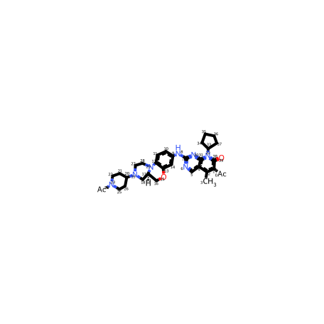 CC(=O)c1c(C)c2cnc(Nc3ccc4c(c3)OC[C@H]3CN(C5CCN(C(C)=O)CC5)CCN43)nc2n(C2CCCC2)c1=O